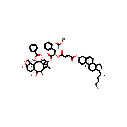 CC(=O)O[C@@]12CO[C@@H]1C[C@H](C)[C@@]1(C)C(=O)[C@H](C)C3=C(C)[C@@H](OC(=O)[C@H](OC(=O)/C=C/C(=O)O[C@H]4CC[C@@]5(C)C(=CCC6C5CC[C@@]5(C)C6CC[C@@H]5[C@H](C)CCCC(C)C)C4)[C@@H](NC(=O)OC(C)(C)C)c4ccccc4)C[C@@](O)([C@@H](OC(=O)c4ccccc4)[C@H]21)C3(C)C